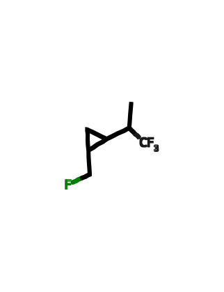 CC(C1CC1CF)C(F)(F)F